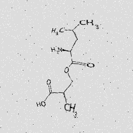 CC(C)C[C@H](N)C(=O)OCC(C)C(=O)O